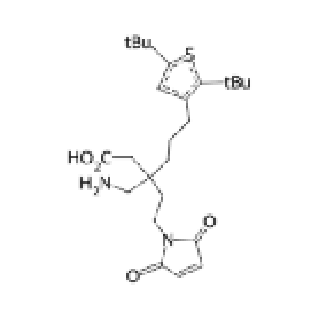 CC(C)(C)c1cc(CCCC(CN)(CCN2C(=O)C=CC2=O)CC(=O)O)c(C(C)(C)C)s1